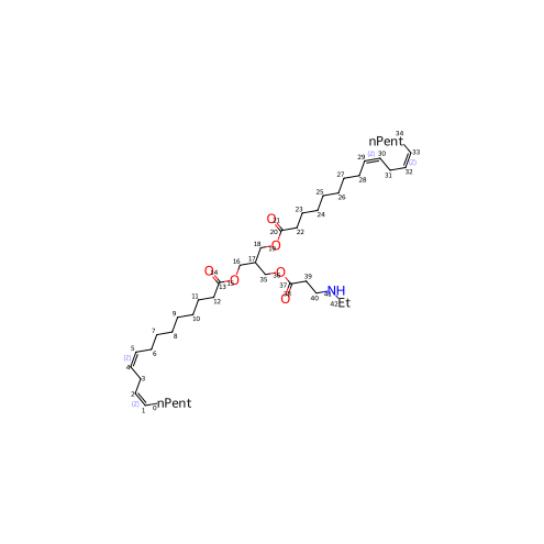 CCCCC/C=C\C/C=C\CCCCCCCC(=O)OCC(COC(=O)CCCCCCC/C=C\C/C=C\CCCCC)COC(=O)CCNCC